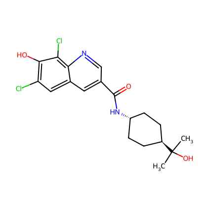 CC(C)(O)[C@H]1CC[C@H](NC(=O)c2cnc3c(Cl)c(O)c(Cl)cc3c2)CC1